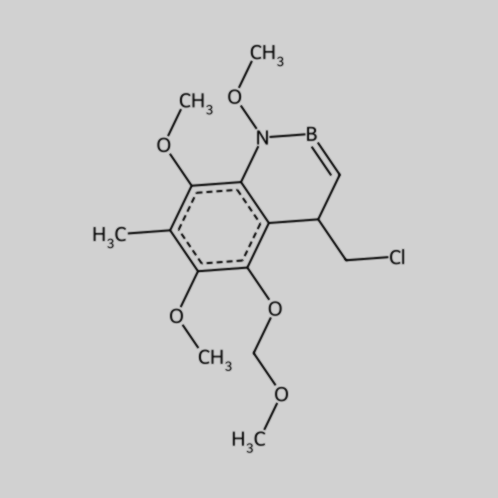 COCOc1c(OC)c(C)c(OC)c2c1C(CCl)C=BN2OC